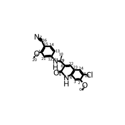 COc1cc2[nH]c(=O)c([C@H](C)Nc3ccc(C#N)c(OC)c3)cc2cc1Cl